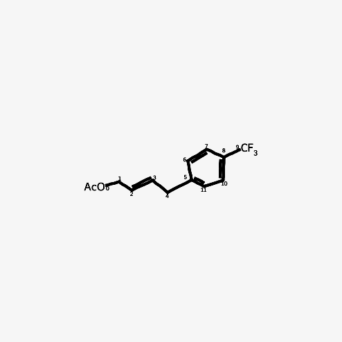 CC(=O)OC/C=C/Cc1ccc(C(F)(F)F)cc1